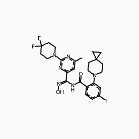 Cc1cc(/C(=N/O)NC(=O)c2ccc(I)cc2N2CCC3(CC2)CC3)nc(N2CCC(F)(F)CC2)n1